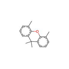 Cc1cccc2c1Oc1c(C)cccc1C2(C)C